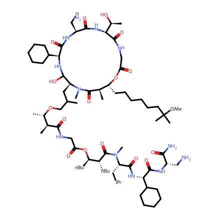 CCCC[C@@H](OC(=O)CNC(=O)[C@@H](C)[C@H](C)OCC(C)C[C@H]1C(O)N[C@@H](C2CCCCC2)C(=O)N[C@@H](CN)C(=O)N[C@@H]([C@H](C)O)C(=O)NCC(=O)O[C@H](CCCCCCC(C)(C)OC)[C@@H](C)C(=O)N1C)[C@@H](CCCC)C(=O)N(C)[C@@H](CC(C)C)C(=O)N[C@H](C(=O)N[C@@H](CN)C(N)=O)C1CCCCC1